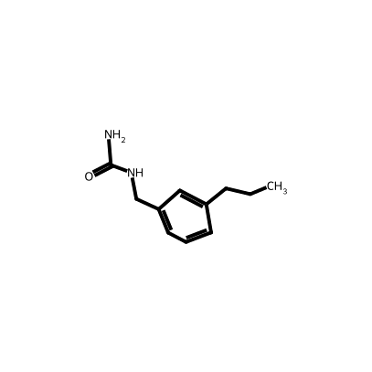 CCCc1cccc(CNC(N)=O)c1